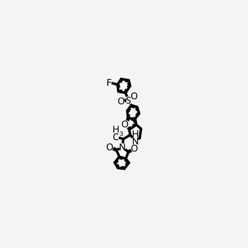 CC(C1NCCc2c1oc1cc(S(=O)(=O)c3cccc(F)c3)ccc21)N1C(=O)c2ccccc2C1=O